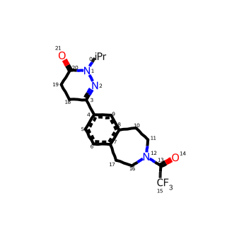 CC(C)N1N=C(c2ccc3c(c2)CCN(C(=O)C(F)(F)F)CC3)CCC1=O